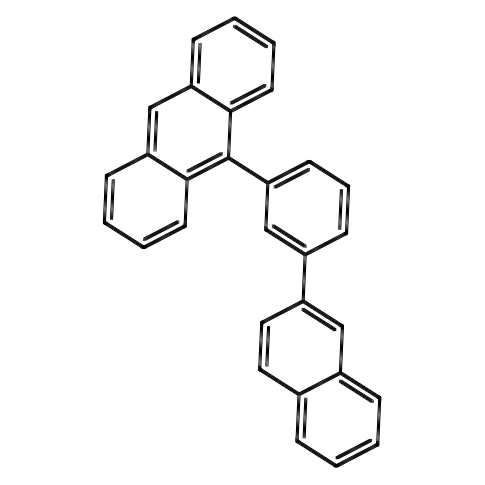 c1cc(-c2ccc3ccccc3c2)cc(-c2c3ccccc3cc3ccccc23)c1